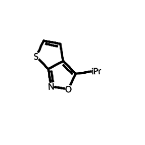 CC(C)c1onc2sccc12